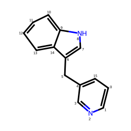 c1cncc(Cc2c[nH]c3ccccc23)c1